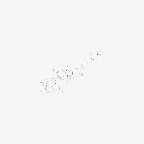 COc1cc(N2CCC(N3CCN(C)CC3)CC2)c(Cl)cc1Nc1ncc(Cl)c(Nc2cc(Cl)ccc2N(C)S(C)(=O)=O)n1